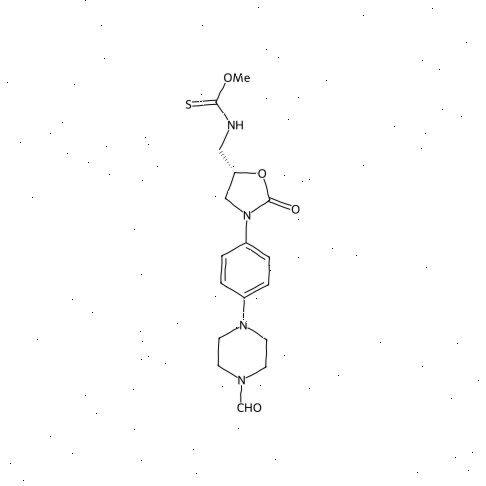 COC(=S)NC[C@H]1CN(c2ccc(N3CCN(C=O)CC3)cc2)C(=O)O1